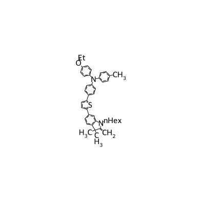 C=C1N(CCCCCC)c2cc(-c3ccc(-c4ccc(N(c5ccc(C)cc5)c5ccc(OCC)cc5)cc4)s3)ccc2C1(C)C